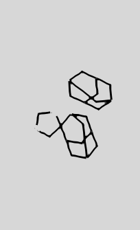 C1C2CC3CC1CC(C2)C3.C1NCC2(O1)C1CC3CC(C1)CC2C3